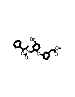 COC(=O)Cc1cccc(Oc2ccc(Br)cc2CN2C(=O)OC(c3ccccc3)C2C)c1